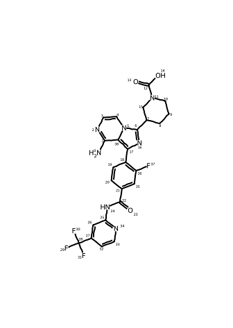 Nc1nccn2c(C3CCCN(C(=O)O)C3)nc(-c3ccc(C(=O)Nc4cc(C(F)(F)F)ccn4)cc3F)c12